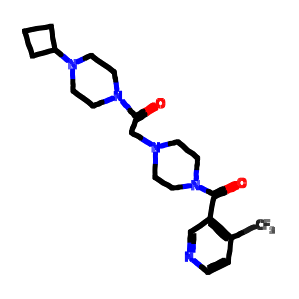 O=C(CN1CCN(C(=O)c2cnccc2C(F)(F)F)CC1)N1CCN(C2CCC2)CC1